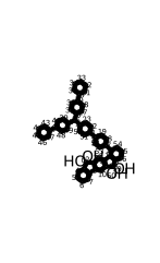 OC1(O)c2ccccc2-c2cc3c(cc21)-c1c(-c2ccc(-c4ccc(C(c5ccc(-c6ccccc6)cc5)c5ccc(-c6ccccc6)cc5)cc4)cc2)cccc1C3(O)O